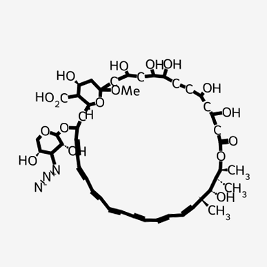 COC12CC(O)CC(O)C(O)CCC(O)CC(O)CC(=O)O[C@@H](C)[C@H](C)[C@H](O)[C@@H](C)/C=C/C=C/C=C/C=C/C=C/C=C/C=C/C(OC3OC[C@@H](O)C(N=[N+]=[N-])[C@H]3O)C[C@H](O1)C(C(=O)O)[C@@H](O)C2